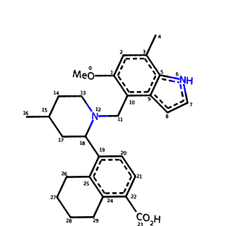 COc1cc(C)c2[nH]ccc2c1CN1CCC(C)CC1c1ccc(C(=O)O)c2c1CCCC2